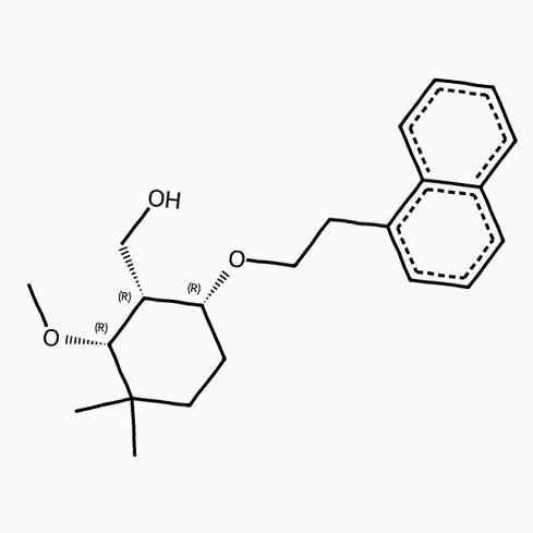 CO[C@@H]1[C@H](CO)[C@H](OCCc2cccc3ccccc23)CCC1(C)C